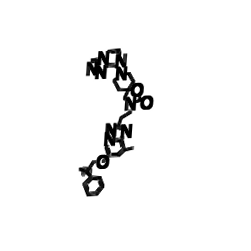 Cc1cc(OC[C@H](C)c2ccccc2)cn2nc(CCN3CC4(CCN(c5nccn6cnnc56)CC4)OC3=O)nc12